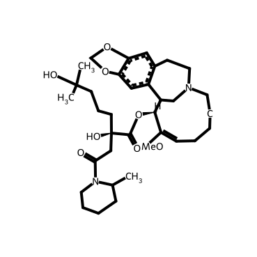 CO/C1=C/CCCCN2CCc3cc4c(cc3[C@@H](C2)[C@@H]1OC(=O)[C@@](O)(CCCC(C)(C)O)CC(=O)N1CCCCC1C)OCO4